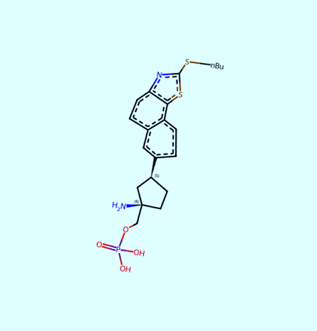 CCCCSc1nc2ccc3cc([C@H]4CC[C@](N)(COP(=O)(O)O)C4)ccc3c2s1